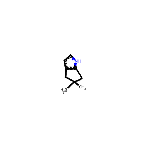 BC1(C)Cc2cc[nH]c2C1